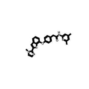 Cc1cc(C)nc(NC(=O)Cc2ccc(Oc3cccc4cc(-c5nccn5C)sc34)cc2)c1